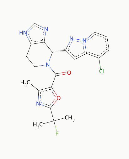 Cc1nc(C(C)(C)F)oc1C(=O)N1CCc2[nH]cnc2[C@@H]1c1cc2c(Cl)cccn2n1